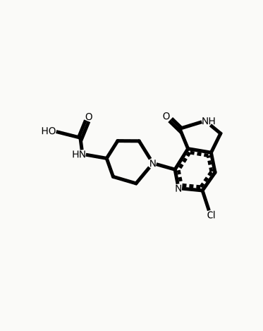 O=C(O)NC1CCN(c2nc(Cl)cc3c2C(=O)NC3)CC1